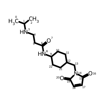 CC(C)NCCC(=O)NC1CCC(CN2C(=O)C=CC2=O)CC1